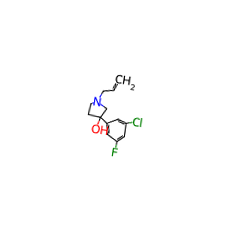 C=CCN1CCC(O)(c2cc(F)cc(Cl)c2)C1